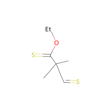 CCOC(=S)C(C)(C)C=S